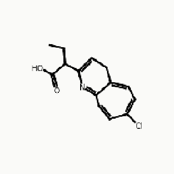 CCC(C(=O)O)C1=CCC2=CC=C(Cl)C=CC2=N1